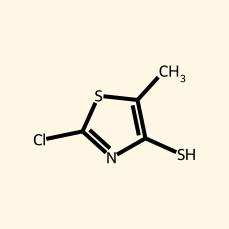 Cc1sc(Cl)nc1S